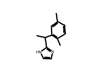 Cc1ccc(C)c(C(C)c2ncc[nH]2)c1